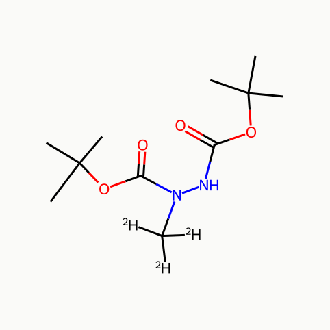 [2H]C([2H])([2H])N(NC(=O)OC(C)(C)C)C(=O)OC(C)(C)C